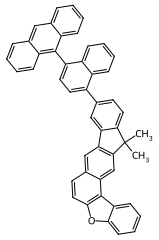 CC1(C)c2ccc(-c3ccc(-c4c5ccccc5cc5ccccc45)c4ccccc34)cc2-c2cc3ccc4oc5ccccc5c4c3cc21